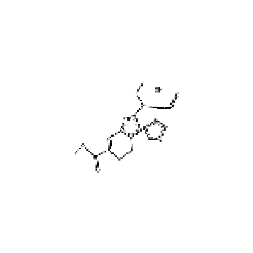 COC(=O)C1=Cc2sc(C(SC)C(O)(C=S)n3ccnc3)cc2CC1